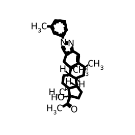 CC(=O)[C@@]1(O)CC[C@H]2[C@@H]3C[C@H](C)C4=Cc5nn(-c6cccc(C)c6)cc5C[C@]4(C)[C@H]3CC[C@@]21C